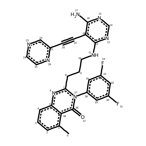 Cc1cccc2nc(CCCNc3ncnc(N)c3C#Cc3cnccn3)n(-c3cc(F)cc(F)c3)c(=O)c12